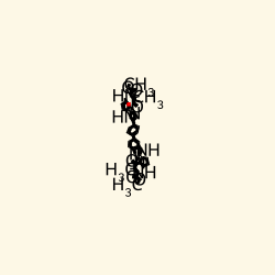 COC(=O)N[C@@H](C)C(=O)N1CCC[C@H]1c1ncc(-c2ccc(-c3ccc4nc([C@@H]5CCCN5C(=O)[C@H](C)NC(=O)OC)[nH]c4c3)cc2)[nH]1